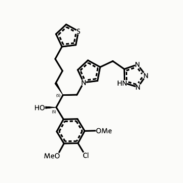 COc1cc([C@@H](O)[C@@H](CCCc2ccsc2)Cn2ccc(Cc3nnn[nH]3)c2)cc(OC)c1Cl